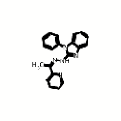 CC(=NNc1nc2ccccc2n1-c1ccccc1)c1ccccn1